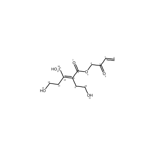 C=CC(=O)COC(=O)/C(CCO)=C(/CCO)C(=O)O